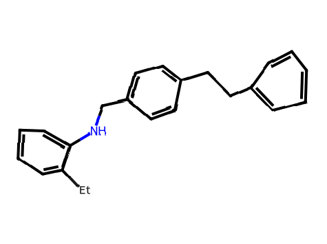 CCc1ccccc1NCc1ccc(CCc2ccccc2)cc1